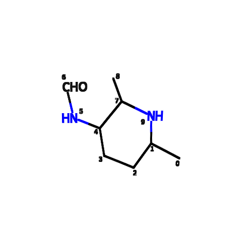 CC1CCC(NC=O)C(C)N1